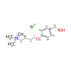 C[N+](C)(C)CCCCOc1ccc(CO)cc1.[Br-]